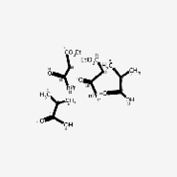 CC(C)C(=O)O.CC(C)C(=O)O.CCCC(=O)CC(=O)OCC.CCCC(=O)CC(=O)OCC